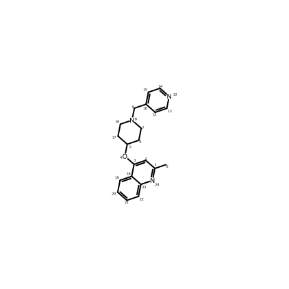 Cc1cc(OC2CCN(Cc3ccncc3)CC2)c2ccccc2n1